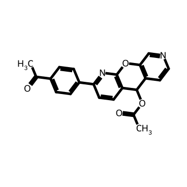 CC(=O)OC1c2ccncc2Oc2nc(-c3ccc(C(C)=O)cc3)ccc21